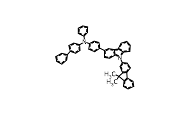 CC1(C)c2ccccc2-c2ccc(-n3c4ccccc4c4cc(-c5ccc(N(c6ccccc6)c6ccc(-c7ccccc7)cc6)cc5)ccc43)cc21